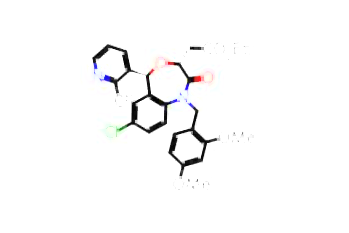 CCOC(=O)C[C@H]1O[C@H](c2cccnc2C(F)(F)F)c2cc(Cl)ccc2N(Cc2ccc(OC)cc2OC)C1=O